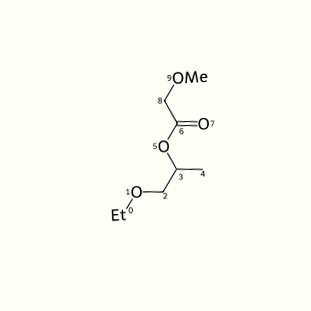 CCOCC(C)OC(=O)COC